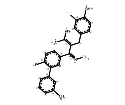 CCC/C(C)=C(Cc1ccc(SC)c(F)c1)/C(=N\C)c1ccc(F)c(-c2cccc(C)c2)c1